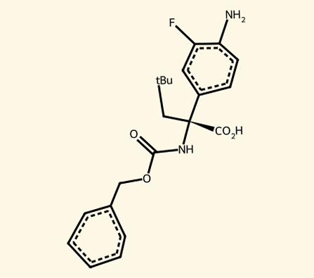 CC(C)(C)C[C@](NC(=O)OCc1ccccc1)(C(=O)O)c1ccc(N)c(F)c1